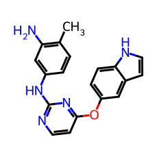 Cc1ccc(Nc2nccc(Oc3ccc4[nH]ccc4c3)n2)cc1N